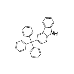 c1ccc(C(c2ccccc2)(c2ccccc2)c2ccc3[nH]c4ccccc4c3c2)cc1